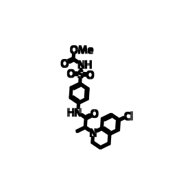 COC(=O)NS(=O)(=O)c1ccc(NC(=O)C(C)N2CCCc3cc(Cl)ccc32)cc1